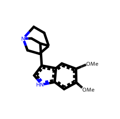 COc1cc2[nH]cc(C3CN4CCC3CC4)c2cc1OC